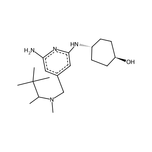 CC(N(C)Cc1cc(N)nc(N[C@H]2CC[C@H](O)CC2)c1)C(C)(C)C